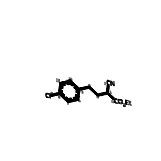 CCOC(=O)C(C#N)CCc1ccc(Cl)cc1